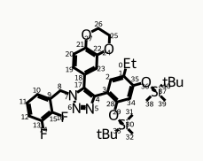 CCc1cc(-c2nnn(Cc3cccc(F)c3F)c2-c2ccc3c(c2)OCCO3)c(O[Si](C)(C)C(C)(C)C)cc1O[Si](C)(C)C(C)(C)C